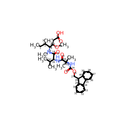 CC[C@H](C)[C@@H]([C@@H](CC(=O)O)OC)N(C)C(=O)[C@@H](NC(=O)C(C)(C)NC(=O)OCC1c2ccccc2-c2ccccc21)C(C)C